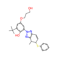 CC1c2nn(-c3cc(OCCCO)cc(C(C)(C)C)c3O)nc2C=CC1Sc1ccccc1